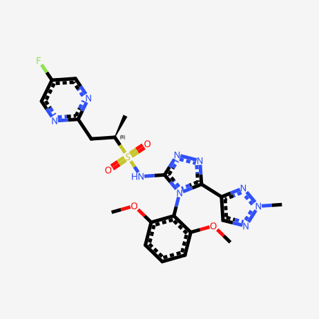 COc1cccc(OC)c1-n1c(NS(=O)(=O)[C@H](C)Cc2ncc(F)cn2)nnc1-c1cnn(C)n1